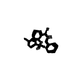 CCC(NCc1ccccc1)c1ccccc1OS(=O)(=O)c1ccc(C)cc1